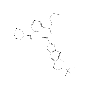 CN(C)CC[C@@H](NC(=O)c1nc2cc3c(nc2s1)CC[C@H](C(C)(C)C)C3)c1cccc(C(=O)N2CCNCC2)c1